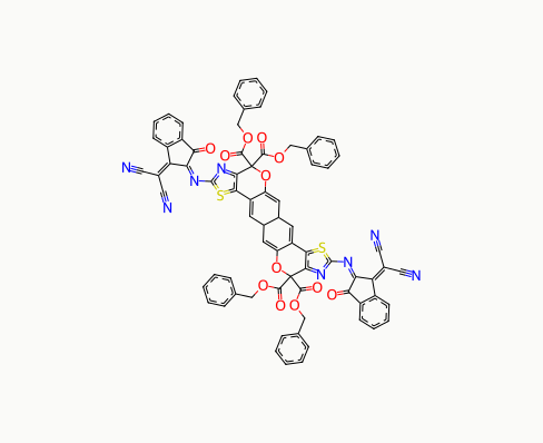 N#CC(C#N)=C1/C(=N/c2nc3c(s2)C2=CC4C=C5OC(C(=O)OCc6ccccc6)(C(=O)OCc6ccccc6)c6nc(/N=C7\C(=O)c8ccccc8C7=C(C#N)C#N)sc6C5=CC4C=C2OC3(C(=O)OCc2ccccc2)C(=O)OCc2ccccc2)C(=O)c2ccccc21